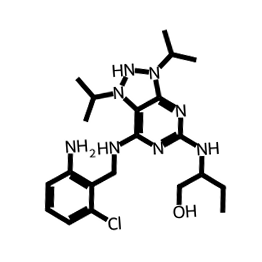 CCC(CO)Nc1nc(NCc2c(N)cccc2Cl)c2c(n1)N(C(C)C)NN2C(C)C